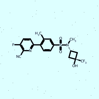 Cc1cc(S(=O)(=O)N(C)[C@H]2C[C@](O)(C(F)(F)F)C2)ccc1-c1ccc(F)c(C#N)n1